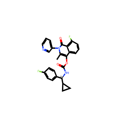 Cc1c(OC(=O)N[C@H](c2ccc(F)cc2)C2CC2)c2cccc(F)c2c(=O)n1-c1cccnc1